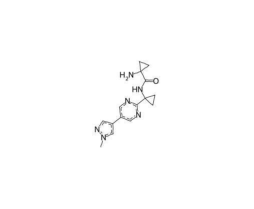 Cn1cc(-c2cnc(C3(NC(=O)C4(N)CC4)CC3)nc2)cn1